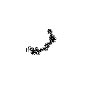 O=C1CCC(N2C(=O)c3cccc(NCCOCC(=O)N4CCC(COc5cc(F)c6c(=O)[nH]c(CSC7CCOCC7)nc6c5)CC4)c3C2=O)C(=O)N1